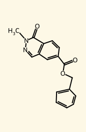 Cn1ncc2cc(C(=O)OCc3ccccc3)ccc2c1=O